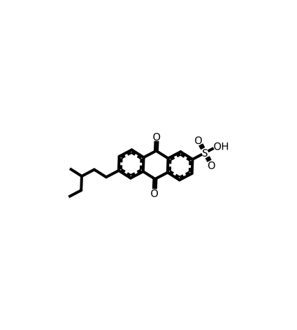 CCC(C)CCc1ccc2c(c1)C(=O)c1ccc(S(=O)(=O)O)cc1C2=O